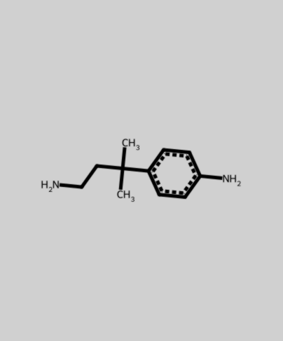 CC(C)(CCN)c1ccc(N)cc1